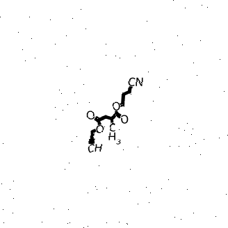 C#CCOC(=O)CC(C)C(=O)OCCCC#N